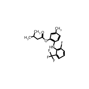 Cc1ccc(Nc2c(F)cccc2C(F)(F)F)c(OC(=O)CC(C)C)c1